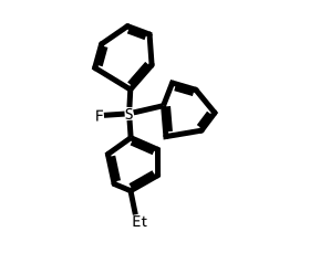 CCc1ccc(S(F)(c2ccccc2)c2ccccc2)cc1